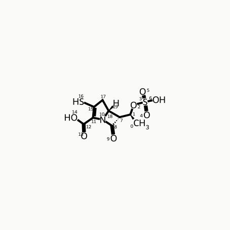 C[C@H](OS(=O)(=O)O)[C@@H]1C(=O)N2C(C(=O)O)=C(S)C[C@H]12